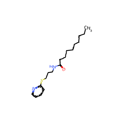 CCCCCCCCCC(=O)NCCCSc1ccccn1